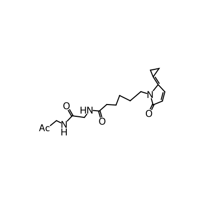 CC(=O)CNC(=O)CNC(=O)CCCCCN1C(=O)C=CC1=C1CC1